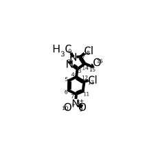 Cn1nc(-c2ccc([N+](=O)[O-])cc2Cl)c(C=O)c1Cl